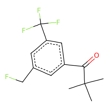 CC(C)(C)C(=O)c1cc(CF)cc(C(F)(F)F)c1